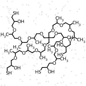 CC(COCC(COCC(C)OCC(C)OCC(C)OCC(O)CS)(COCC(C)OCC(C)OCC(C)OCC(O)CS)COCC(C)OCC(C)OCC(C)OCC(O)CS)OCC(C)OCC(C)OCC(O)CS